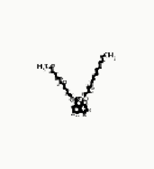 CCCCCCCCCCCCCCOC(=O)c1cccc2cccc(C(=O)OCCCCCCCCCCCC)c12